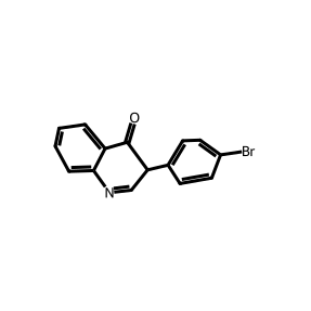 O=C1c2ccccc2N=CC1c1ccc(Br)cc1